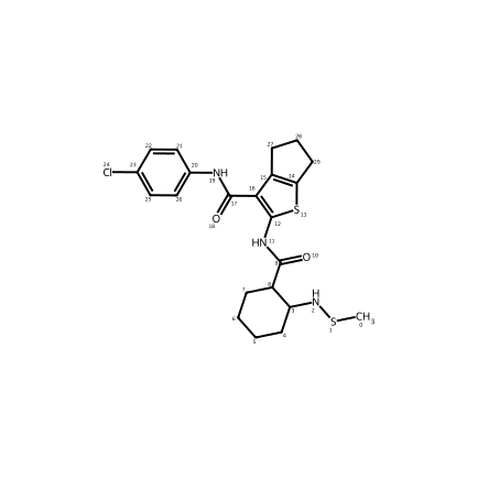 CSNC1CCCCC1C(=O)Nc1sc2c(c1C(=O)Nc1ccc(Cl)cc1)CCC2